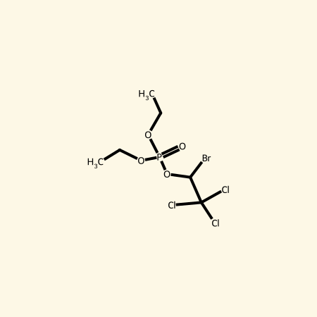 CCOP(=O)(OCC)OC(Br)C(Cl)(Cl)Cl